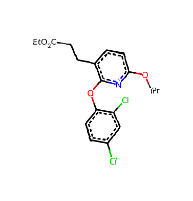 CCOC(=O)CCc1ccc(OC(C)C)nc1Oc1ccc(Cl)cc1Cl